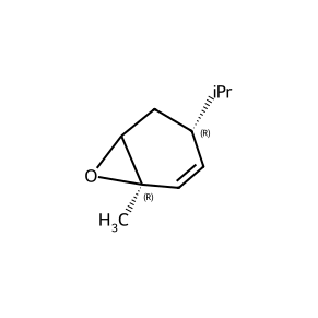 CC(C)[C@@H]1C=C[C@@]2(C)OC2C1